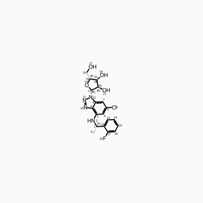 C[C@H](Nc1cc(Cl)cc2c1nnn2[C@@H]1O[C@H](CO)[C@@H](O)[C@H]1O)c1ccccc1F